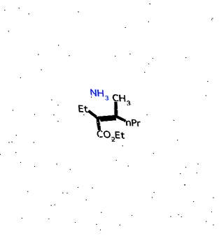 CCCC(C)=C(CC)C(=O)OCC.N